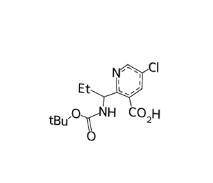 CCC(NC(=O)OC(C)(C)C)c1ncc(Cl)cc1C(=O)O